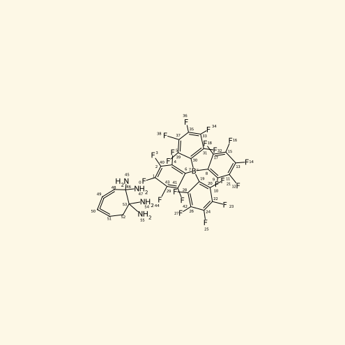 Fc1c(F)c(F)c([B-](c2c(F)c(F)c(F)c(F)c2F)(c2c(F)c(F)c(F)c(F)c2F)c2c(F)c(F)c(F)c(F)c2F)c(F)c1F.NC1(N)C=C=C=CCC1(N)N